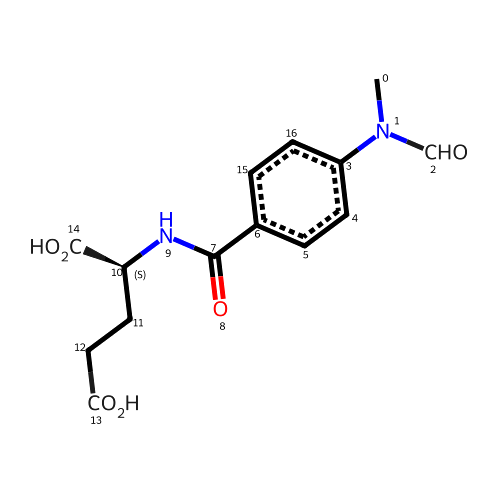 CN(C=O)c1ccc(C(=O)N[C@@H](CCC(=O)O)C(=O)O)cc1